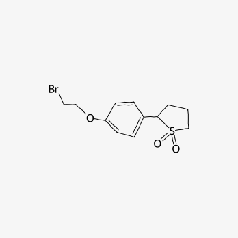 O=S1(=O)CCCC1c1ccc(OCCBr)cc1